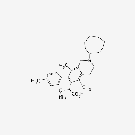 Cc1ccc(-c2c(C)c3c(c(C)c2[C@H](OC(C)(C)C)C(=O)O)CCN(C2CCCCCCC2)C3)cc1